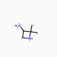 CC1(C)NCC1N